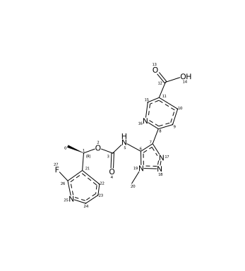 C[C@@H](OC(=O)Nc1c(-c2ccc(C(=O)O)cn2)nnn1C)c1cccnc1F